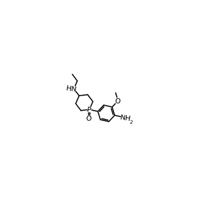 CCNC1CCP(=O)(c2ccc(N)c(OC)c2)CC1